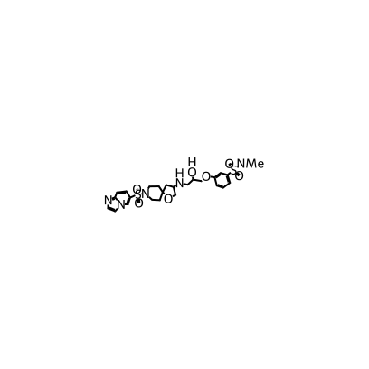 CNS(=O)(=O)c1cccc(OCC(O)CNC2COC3(CCN(S(=O)(=O)c4ccc5nccn5c4)CC3)C2)c1